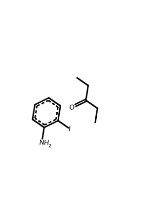 CCC(=O)CC.Nc1ccccc1I